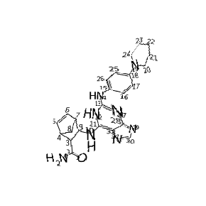 NC(=O)C1C2C=CC(C2)C1Nc1[nH]c(Nc2ccc(N3CCCCC3)cc2)nc2ncnc1-2